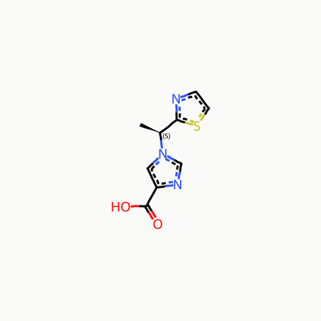 C[C@@H](c1nccs1)n1cnc(C(=O)O)c1